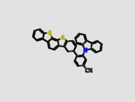 N#Cc1ccc(C2C=Cc3sc4c(ccc5c6ccccc6sc54)c3C2)c(-n2c3ccccc3c3ccccc32)c1